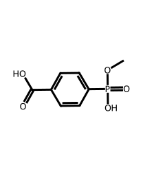 COP(=O)(O)c1ccc(C(=O)O)cc1